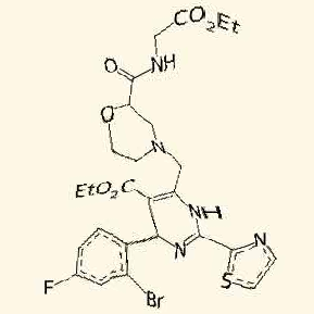 CCOC(=O)CNC(=O)C1CN(CC2=C(C(=O)OCC)C(c3ccc(F)cc3Br)N=C(c3nccs3)N2)CCO1